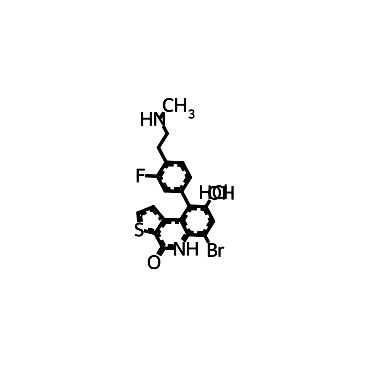 CNCCc1ccc(-c2c(O)cc(Br)c3[nH]c(=O)c4sccc4c23)cc1F.Cl